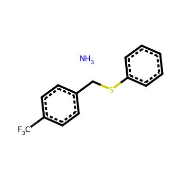 FC(F)(F)c1ccc(CSc2ccccc2)cc1.N